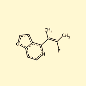 C/C(F)=C(\C)c1nccc2occc12